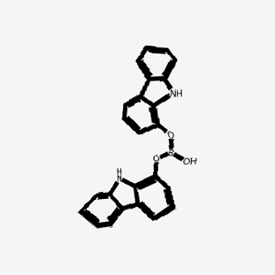 OB(Oc1cccc2c1[nH]c1ccccc12)Oc1cccc2c1[nH]c1ccccc12